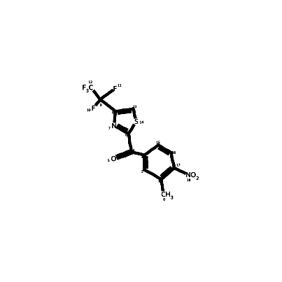 Cc1cc(C(=O)c2nc(C(F)(F)C(F)(F)F)cs2)ccc1[N+](=O)[O-]